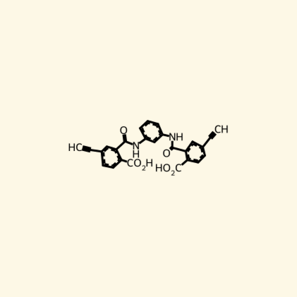 C#Cc1ccc(C(=O)O)c(C(=O)Nc2cccc(NC(=O)c3cc(C#C)ccc3C(=O)O)c2)c1